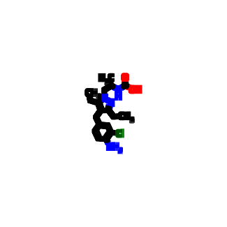 CCc1nn(C[C@@H](C)NC(=O)O)c(CC)c1Cc1ccc(N)c(Cl)c1